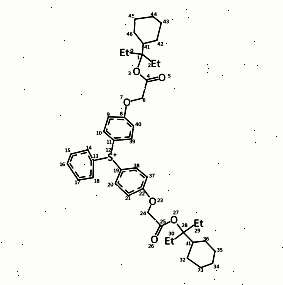 CCC(CC)(OC(=O)COc1ccc([S+](c2ccccc2)c2ccc(OCC(=O)OC(CC)(CC)C3CCCCC3)cc2)cc1)C1CCCCC1